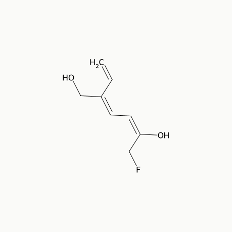 C=C/C(=C\C=C(\O)CF)CO